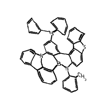 Cc1ccccc1N1B2c3c(cc(N(c4ccccc4)c4ccccc4)cc3-n3c4ccccc4c4cccc2c43)-c2c1ccc1sc3ccccc3c21